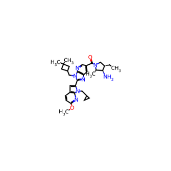 CC[C@@H]1CN(C(=O)c2cnc3c(c2)nc(-c2cc4ccc(OC)nc4n2CC2CC2)n3CC2CC(C)(C)C2)[C@H](C)[C@@H]1N